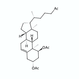 CC(=O)CCC[C@@H](C)[C@H]1CC[C@H]2[C@@H]3CC=C4C[C@@H](OC(C)=O)C[C@H](OC(C)=O)[C@]4(C)[C@H]3CC[C@]12C